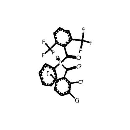 O=C(c1c(C(F)(F)F)cccc1C(F)(F)F)P(=O)(C(=O)c1c(Cl)ccc(Cl)c1Cl)c1ccccc1